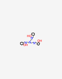 Oc1ccccc1C=NCCN(CCN=Cc1ccccc1O)CCN=Cc1ccccc1O